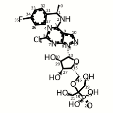 C[C@@H](Nc1nc(Cl)nc2c1cnn2[C@@H]1O[C@H](COC(CO)(CO)P(=O)(O)O)[C@@H](O)[C@H]1O)c1ccc(F)cc1